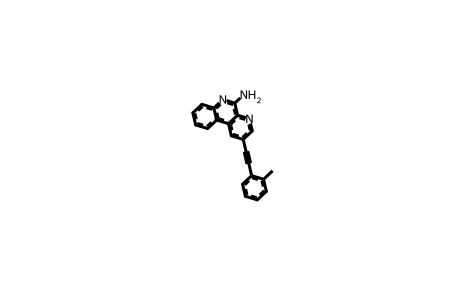 Cc1ccccc1C#Cc1cnc2c(N)nc3ccccc3c2c1